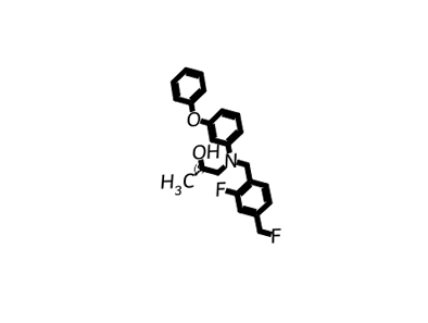 C[C@H](O)CN(Cc1ccc(CF)cc1F)c1cccc(Oc2ccccc2)c1